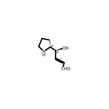 O=C/C=C/[C@H](O)[C@H]1CCCN1